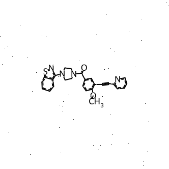 COc1ccc(C(=O)N2CCN(c3nsc4ccccc34)CC2)cc1C#Cc1ccccn1